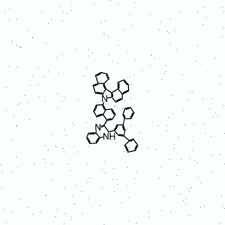 c1ccc(-c2cc(-c3ccccc3)cc(C3Nc4ccccc4N=C3c3cccc4c(-n5c6ccc7ccccc7c6c6c7ccccc7ccc65)cccc34)c2)cc1